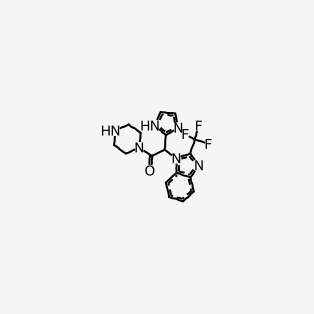 O=C(C(c1ncc[nH]1)n1c(C(F)(F)F)nc2ccccc21)N1CCNCC1